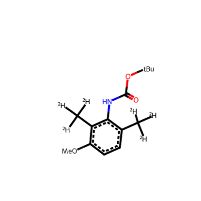 [2H]C([2H])([2H])c1ccc(OC)c(C([2H])([2H])[2H])c1NC(=O)OC(C)(C)C